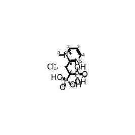 C[n+]1cccnc1CC(P(=O)(O)O)P(=O)(O)O.[Cl-]